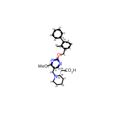 COc1nc(OCc2cccc(-c3ccccc3)c2C)ncc1CN1CCCC[C@H]1CC(=O)O